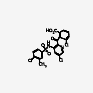 Cc1cc(S(=O)(=O)Nc2cc(Cl)cnc2C(=O)c2c(Cl)cccc2C(=O)O)ccc1Cl